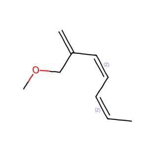 C=C(/C=C\C=C/C)COC